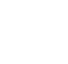 O=S(=O)([O-])C(F)C(F)(F)C(F)(F)C(F)(F)C(F)F.[K+]